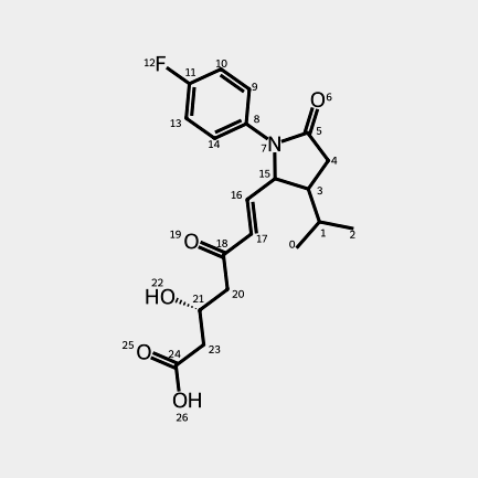 CC(C)C1CC(=O)N(c2ccc(F)cc2)C1C=CC(=O)C[C@@H](O)CC(=O)O